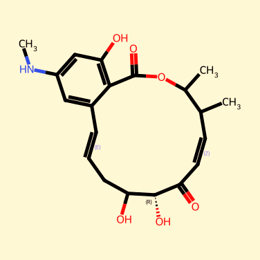 CNc1cc(O)c2c(c1)/C=C/CC(O)[C@@H](O)C(=O)/C=C\C(C)C(C)OC2=O